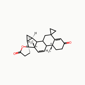 C[C@]12CCC(=O)C=C1C1(CC1)CC1C2C=C[C@@]2(C)C1[C@@H]1CC1[C@@]21CCC(=O)O1